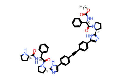 COC(=O)N[C@@H](C(=O)N1CCC[C@H]1c1ncc(-c2ccc(C#Cc3ccc(-c4cnc([C@@H]5CCCN5C(=O)[C@H](NC(=O)[C@H]5CCCN5)c5ccccc5)[nH]4)cc3)cc2)[nH]1)c1ccccc1